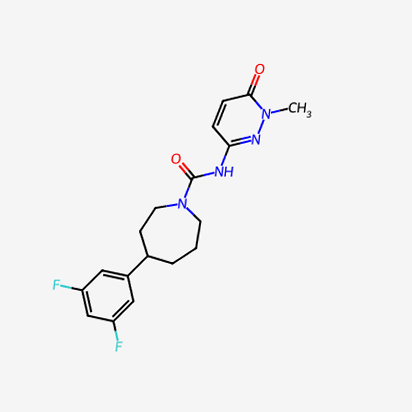 Cn1nc(NC(=O)N2CCCC(c3cc(F)cc(F)c3)CC2)ccc1=O